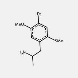 CCc1cc(SC)c(CC(C)N)cc1OC